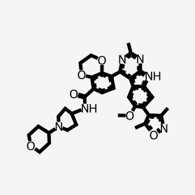 COc1cc2c(cc1-c1c(C)noc1C)[nH]c1nc(C)nc(-c3ccc(C(=O)NC4CCN(C5CCOCC5)CC4)c4c3OCCO4)c12